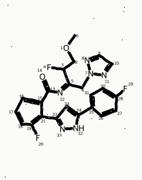 COCC(F)/C(Cn1nccn1)=N\C(=O)c1cccc(F)c1-c1cc(-c2ccc(F)cc2)[nH]n1